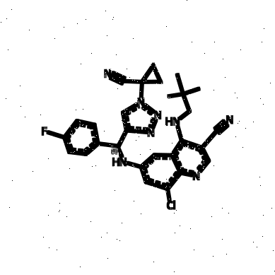 CC(C)(C)CNc1c(C#N)cnc2c(Cl)cc(N[C@@H](c3ccc(F)cc3)c3cn(C4(C#N)CC4)nn3)cc12